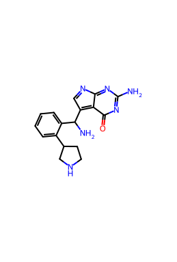 NC1=NC(=O)C2=C(C(N)c3ccccc3C3CCNC3)C=NC2=N1